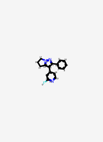 Fc1cc(-c2c(-c3ccccc3)nn3c2CCC3)ccn1